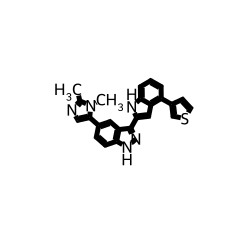 Cc1ncc(-c2ccc3[nH]nc(-c4cc5c(-c6ccsc6)cccc5[nH]4)c3c2)n1C